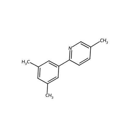 Cc1ccc(-c2cc(C)cc(C)c2)nc1